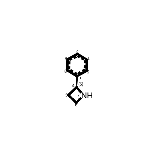 c1ccc([C@@H]2CCN2)cc1